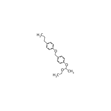 CCCc1ccc(OCc2ccc(OC(C)OCC)cc2)cc1